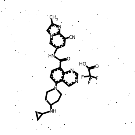 Cc1cn2cc(NC(=O)c3ccc(N4CCC(NC5CC5)CC4)c4cncnc34)cc(C#N)c2n1.O=C(O)C(F)(F)F